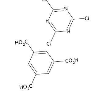 Clc1nc(Cl)nc(Cl)n1.O=C(O)c1cc(C(=O)O)cc(C(=O)O)c1